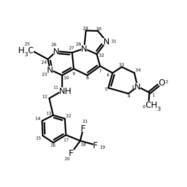 CC(=O)N1CC=C(C2=Cc3c(NCc4cccc(C(F)(F)F)c4)nc(C)nc3N3CCN=C23)CC1